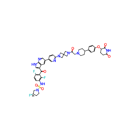 O=C1CCC(Oc2ccc(C3CCN(CC(=O)N4CC5(C4)CN(c4ccc(-c6cnc7[nH]cc(C(=O)c8c(F)ccc(NS(=O)(=O)N9CC[C@@H](F)C9)c8F)c7c6)cn4)C5)CC3)cc2)C(=O)N1